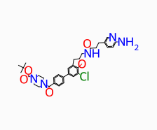 CC(C)(C)OC(=O)N1CCN(C(=O)c2ccc(-c3cc(Cl)c4c(c3)CC(CNC(=O)CCc3ccc(N)nc3)O4)cc2)CC1